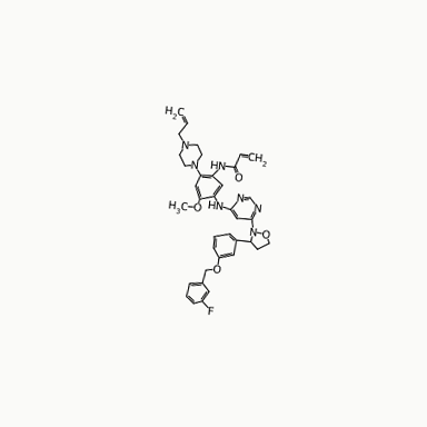 C=CCN1CCN(c2cc(OC)c(Nc3cc(N4OCCC4c4cccc(OCc5cccc(F)c5)c4)ncn3)cc2NC(=O)C=C)CC1